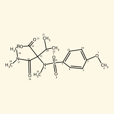 COc1ccc(S(=O)(=O)N(C)C(C(=O)O)(C(=O)N(C)C)C(C)C)cc1